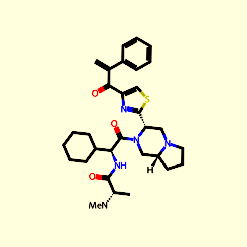 C=C(C(=O)c1csc([C@@H]2CN3CCC[C@@H]3CN2C(=O)[C@@H](NC(=O)[C@H](C)NC)C2CCCCC2)n1)c1ccccc1